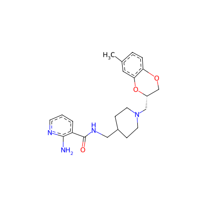 Cc1ccc2c(c1)O[C@@H](CN1CCC(CNC(=O)c3cccnc3N)CC1)CO2